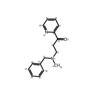 CN(CCC(=O)c1ccccn1)Cc1ccccc1